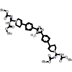 Cn1c(-c2ccc(C3=CCN(/C(=N\C(=O)OC(C)(C)C)NC(=O)OC(C)(C)C)CC3)cc2)nnc1-c1ccc(C2=CCN(/C(=N/C(=O)OC(C)(C)C)NC(=O)OC(C)(C)C)CC2)cc1